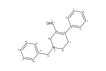 O=CC1=C(c2ccccc2)CCN(Cc2ccccc2)C1